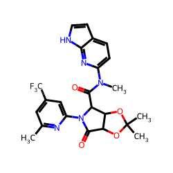 Cc1cc(C(F)(F)F)cc(N2C(=O)C3OC(C)(C)OC3C2C(=O)N(C)c2ccc3cc[nH]c3n2)n1